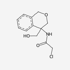 O=C(CCl)NC1(CO)COCc2ccccc21